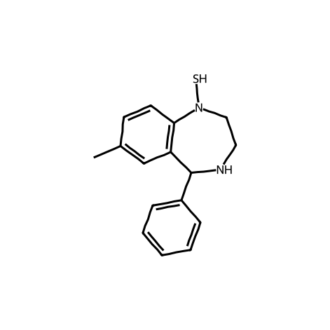 Cc1ccc2c(c1)C(c1ccccc1)NCCN2S